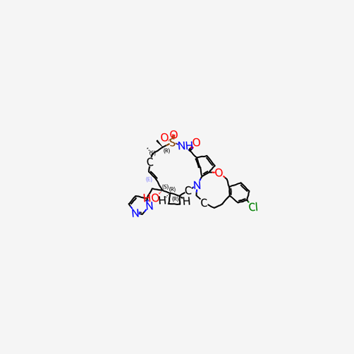 C[C@@H]1[C@@H](C)C/C=C/[C@](O)(Cc2ccncn2)[C@@H]2CC[C@H]2CN2CCCCc3cc(Cl)ccc3COc3ccc(cc32)C(=O)NS1(=O)=O